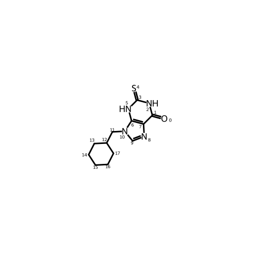 O=c1[nH]c(=S)[nH]c2c1ncn2CC1CCCCC1